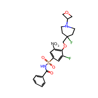 O=C(NS(=O)(=O)c1cc(F)c(OCC2(F)CCN(C3COC3)CC2)c([N+](=O)[O-])c1)c1ccccc1